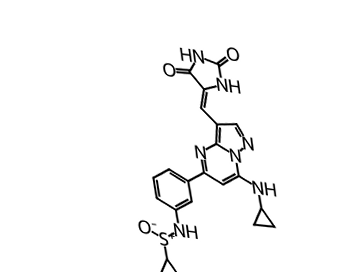 O=C1NC(=O)/C(=C/c2cnn3c(NC4CC4)cc(-c4cccc(N[S+]([O-])C5CC5)c4)nc23)N1